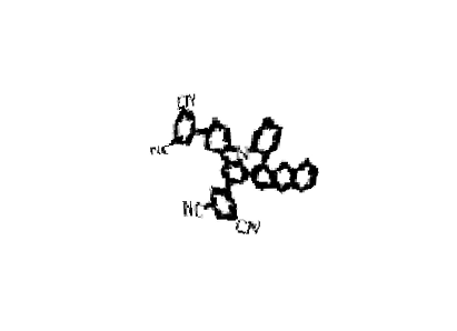 N#Cc1cc(C#N)cc(-c2ccc3c(c2)c2cc(-c4cc(C#N)cc(C#N)c4)ccc2n3-c2ccccc2-c2cccc3cc4ccccc4cc23)c1